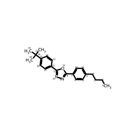 CCCCc1ccc(-c2nnc(-c3ccc(C(C)(C)C)cc3)o2)cc1